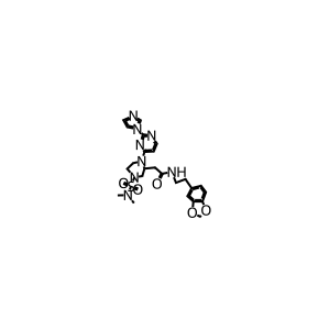 CN(C)S(=O)(=O)N1CCN(c2ccnc(-n3ccnc3)n2)C(CC(=O)NCCc2ccc3c(c2)OCO3)C1